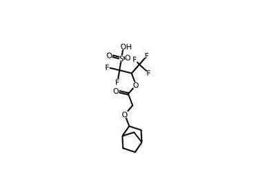 O=C(COC1CC2CCC1C2)OC(C(F)(F)F)C(F)(F)S(=O)(=O)O